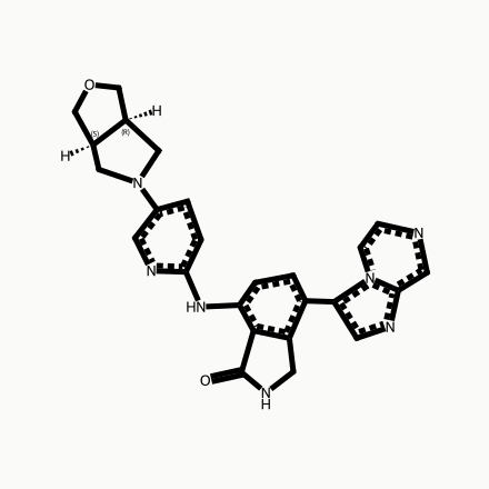 O=C1NCc2c(-c3cnc4cnccn34)ccc(Nc3ccc(N4C[C@H]5COC[C@H]5C4)cn3)c21